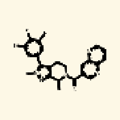 CC1c2nn(C)c(-c3cc(F)c(F)c(F)c3)c2CCN1C(=O)c1cnc2cccnc2c1